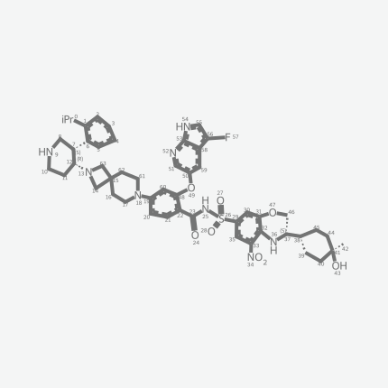 CC(C)c1ccccc1[C@H]1CNCC[C@H]1N1CC2(CCN(c3ccc(C(=O)NS(=O)(=O)c4cc5c(c([N+](=O)[O-])c4)N[C@@H]([C@H]4CC[C@](C)(O)CC4)CO5)c(Oc4cnc5[nH]cc(F)c5c4)c3)CC2)C1